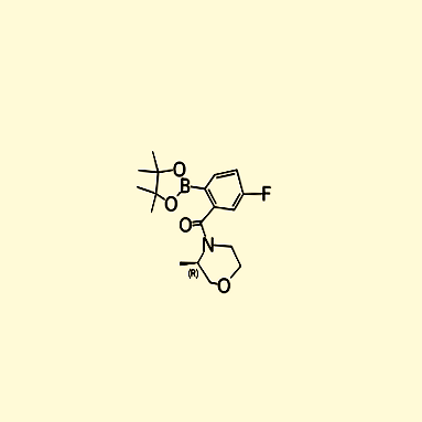 C[C@@H]1COCCN1C(=O)c1cc(F)ccc1B1OC(C)(C)C(C)(C)O1